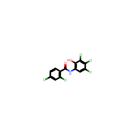 O=C(Nc1cc(Cl)c(Cl)c(Cl)c1O)c1ccc(Cl)cc1Cl